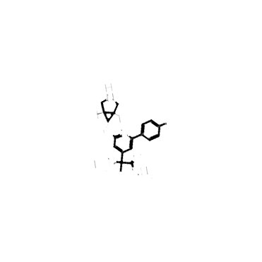 CC(N)(C(N)=O)c1cc(O[C@@H]2[C@@H]3CNC[C@@H]32)nc(-c2ccc(F)cc2)c1